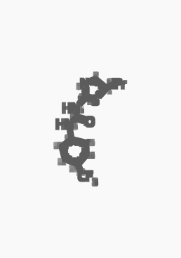 CC(C)c1cnc(NC(=O)Nc2ccc(C(F)(F)F)cc2)s1